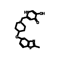 Cc1nc2cc(OC3CCN(Cc4cc(=O)c(O)c[nH]4)CC3)ccc2s1